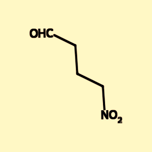 O=CCCC[N+](=O)[O-]